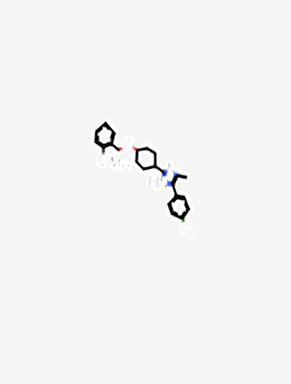 COc1ccccc1COC1CCC(c2nc(C)c(-c3ccc(Cl)cc3)[nH]2)CC1